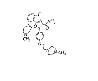 CN1CCN(CCOc2ccc(C3OC(c4c(F)cccc4N4CCN(C)CC4)=NC3C(N)=O)cc2)CC1